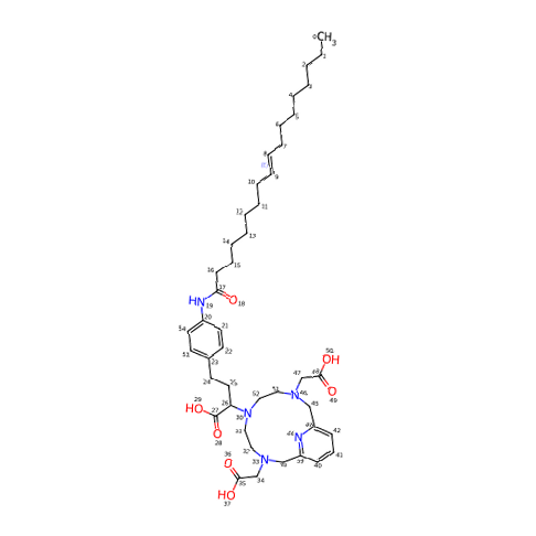 CCCCCCCC/C=C/CCCCCCCC(=O)Nc1ccc(CCC(C(=O)O)N2CCN(CC(=O)O)Cc3cccc(n3)CN(CC(=O)O)CC2)cc1